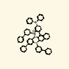 B1c2ccc(-c3ccccc3)cc2N(c2cccc(-c3ccccc3)c2)c2cc3ccccc3c(-c3ccc(N(c4ccccc4)c4ccccc4)cc3Nc3cccc(-c4ccccc4)c3)c21